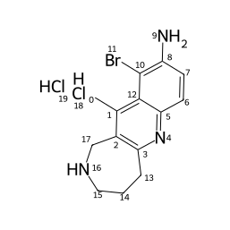 Cc1c2c(nc3ccc(N)c(Br)c13)CCCNC2.Cl.Cl